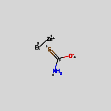 C[CH2][Zn+].NC([O-])=S